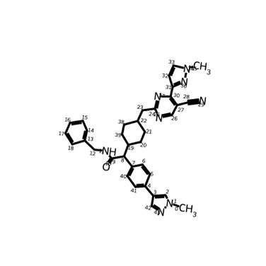 Cn1cc(-c2ccc(C(C(=O)NCc3ccccc3)C3CCC(Cc4ncc(C#N)c(-c5ccn(C)n5)n4)CC3)cc2)cn1